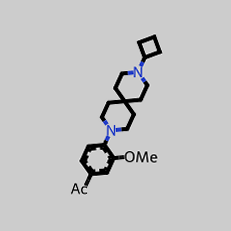 COc1cc(C(C)=O)ccc1N1CCC2(CC1)CCN(C1CCC1)CC2